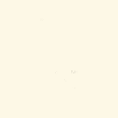 CC(C)S(=O)(=O)NC1Cc2ccc(Br)cc2C1